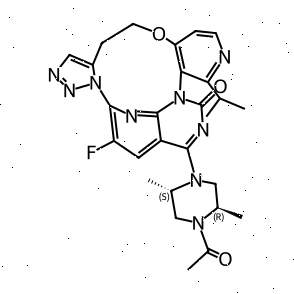 CC(=O)N1C[C@H](C)N(c2nc(=O)n3c4nc(c(F)cc24)-n2nncc2CCOc2ccnc(C(C)C)c2-3)C[C@H]1C